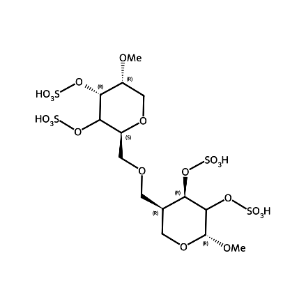 CO[C@@H]1OC[C@@H](COC[C@@H]2OC[C@@H](OC)[C@@H](OS(=O)(=O)O)C2OS(=O)(=O)O)[C@@H](OS(=O)(=O)O)C1OS(=O)(=O)O